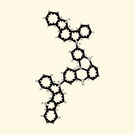 c1cc2c3c(c1)Oc1cc(-n4c5ccccc5c5c6sc7ccccc7c6ccc54)ccc1B3c1ccc(-n3c4ccccc4c4c5sc6ccccc6c5ccc43)cc1O2